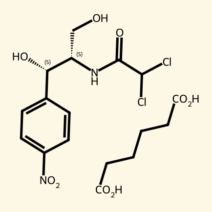 O=C(N[C@@H](CO)[C@@H](O)c1ccc([N+](=O)[O-])cc1)C(Cl)Cl.O=C(O)CCCCC(=O)O